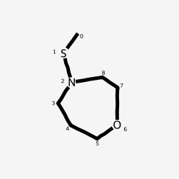 CSN1CCCOCC1